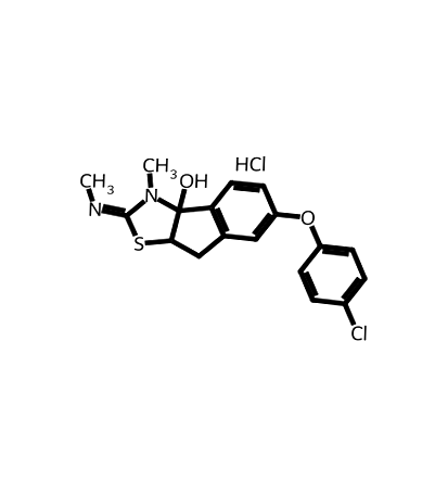 CN=C1SC2Cc3cc(Oc4ccc(Cl)cc4)ccc3C2(O)N1C.Cl